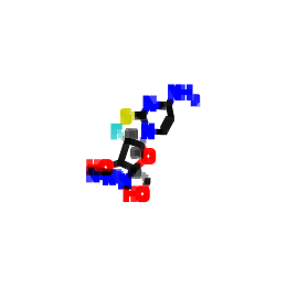 [N-]=[N+]=N[C@]1(CO)O[C@@H](n2ccc(N)nc2=S)[C@@H](F)C1O